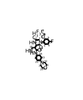 CC1=CN(c2ccc(F)cc2OCC(F)(F)F)C(=O)/C(=C(/C=N)C(=O)Nc2ccc(N3CCOCC3)cc2)N1